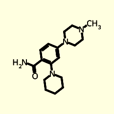 CN1CCN(c2ccc(C(N)=O)c(N3CCCCC3)c2)CC1